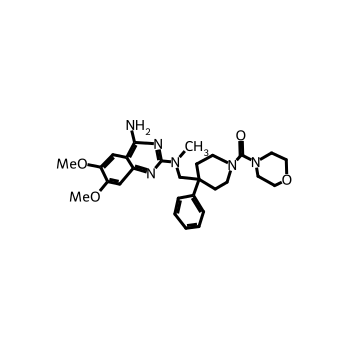 COc1cc2nc(N(C)CC3(c4ccccc4)CCN(C(=O)N4CCOCC4)CC3)nc(N)c2cc1OC